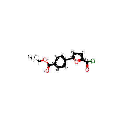 CCOC(=O)c1ccc(-c2ccc(C(=O)Cl)o2)cc1